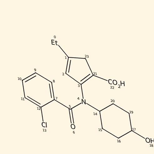 CCC1=CC(N(C(=O)c2ccccc2Cl)C2CCC(O)CC2)=C(C(=O)O)C1